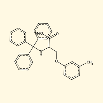 COC(=O)C(COc1cccc(C)c1)NC(c1ccccc1)(c1ccccc1)c1ccccc1